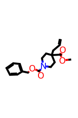 C=CCC1(C(=O)OC)CCN(C(=O)OCc2ccccc2)CC1